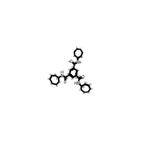 O=C(NC1CCCCCC1)c1cc(C(=O)NC2CCCCCC2)cc(C(=O)NC2CCCCCC2)c1